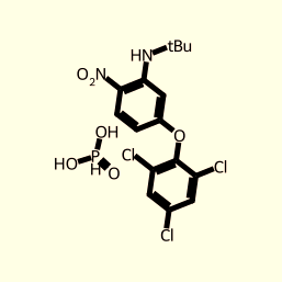 CC(C)(C)Nc1cc(Oc2c(Cl)cc(Cl)cc2Cl)ccc1[N+](=O)[O-].O=[PH](O)O